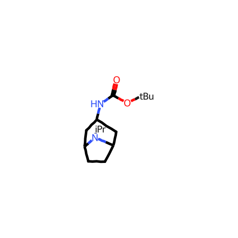 CC(C)N1C2CCC1CC(NC(=O)OC(C)(C)C)C2